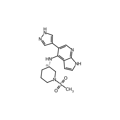 CS(=O)(=O)N1CCC[C@H](Nc2c(-c3cn[nH]c3)cnc3[nH]ccc23)C1